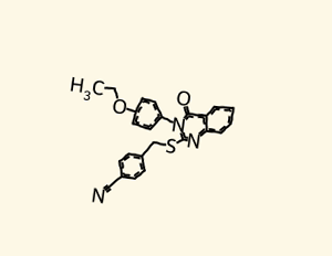 CCOc1ccc(-n2c(SCc3ccc(C#N)cc3)nc3ccccc3c2=O)cc1